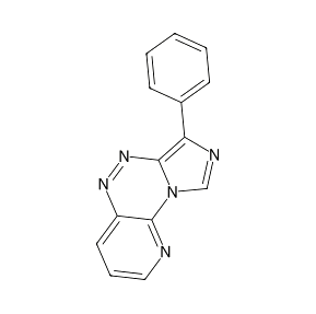 c1ccc(-c2ncn3c2nnc2cccnc23)cc1